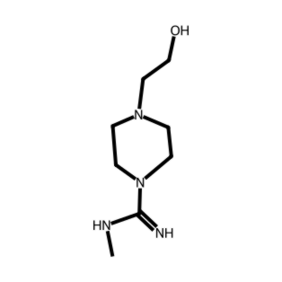 CNC(=N)N1CCN(CCO)CC1